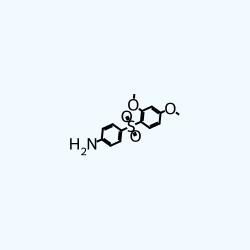 COc1ccc(S(=O)(=O)c2ccc(N)cc2)c(OC)c1